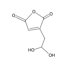 O=C1C=C(CC(O)O)C(=O)O1